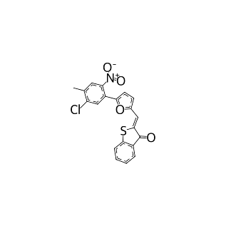 Cc1cc([N+](=O)[O-])c(-c2ccc(C=C3Sc4ccccc4C3=O)o2)cc1Cl